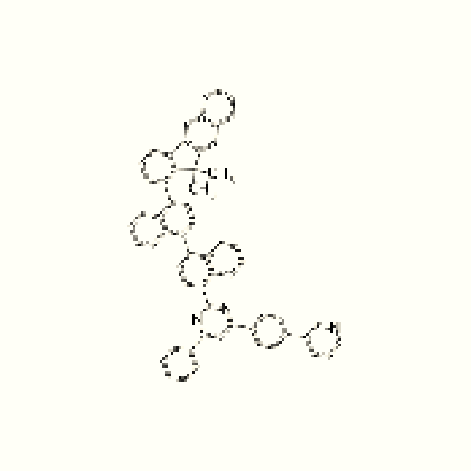 CC1(C)c2cc3ccccc3cc2-c2cccc(-c3ccc(-c4ccc(-c5nc(-c6ccccc6)cc(-c6ccc(-c7cccnc7)cc6)n5)c5ccccc45)c4ccccc34)c21